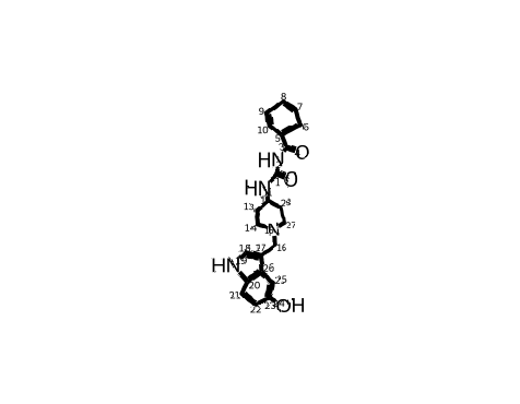 O=C(NC(=O)c1ccccc1)NC1CCN(Cc2c[nH]c3ccc(O)cc23)CC1